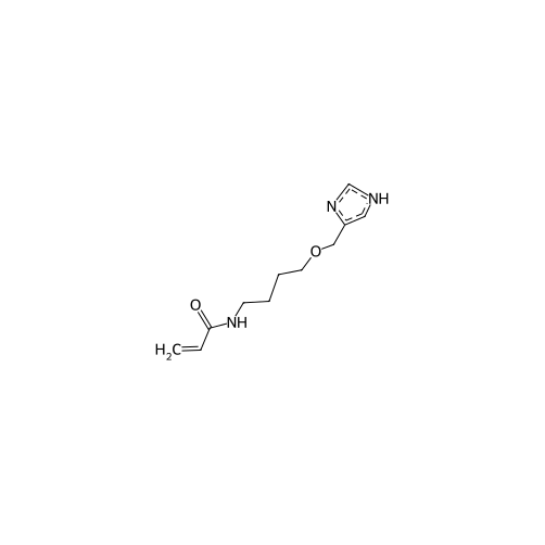 C=CC(=O)NCCCCOCc1c[nH]cn1